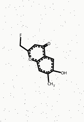 Cc1cc2oc(CF)cc(=O)c2cc1O